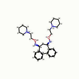 c1ccc2c(c1)C(=NOCCN1CCCCC1)CC(=NOCCN1CCCCC1)c1ccccc1-2